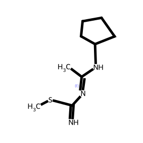 CSC(=N)/N=C(\C)NC1CCCC1